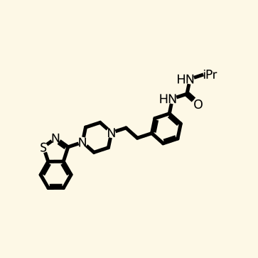 CC(C)NC(=O)Nc1cccc(CCN2CCN(c3nsc4ccccc34)CC2)c1